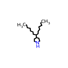 CCCCCCCC(CCCCCCC)C1CCNCC1